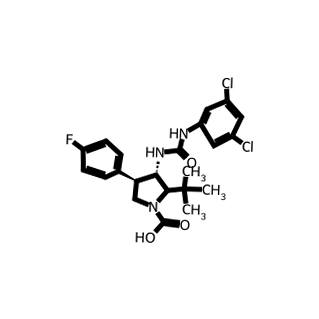 CC(C)(C)C1[C@@H](NC(=O)Nc2cc(Cl)cc(Cl)c2)[C@H](c2ccc(F)cc2)CN1C(=O)O